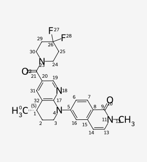 C[C@H]1CCN(c2ccc3c(=O)n(C)ccc3c2)c2ncc(C(=O)N3CCC(F)(F)CC3)cc21